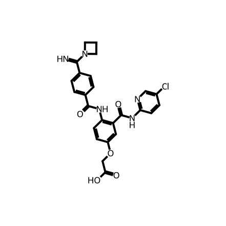 N=C(c1ccc(C(=O)Nc2ccc(OCC(=O)O)cc2C(=O)Nc2ccc(Cl)cn2)cc1)N1CCC1